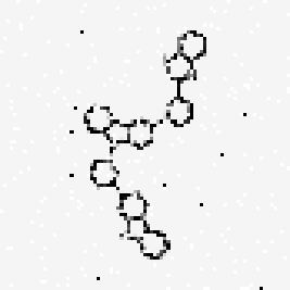 c1cc(-c2ccc3c(c2)c2ccccc2n3-c2cccc(-c3ccc4c(c3)oc3ccccc34)c2)cc(-c2cnc3ccccc3n2)c1